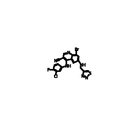 N#Cc1cnc2c(Br)cc(NCc3csnn3)cc2c1Nc1ccc(F)c(Cl)c1